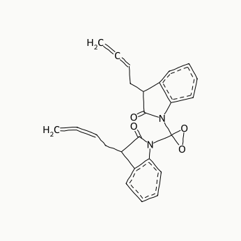 C=C=CCC1C(=O)N(C2(N3C(=O)C(CC=C=C)c4ccccc43)OO2)c2ccccc21